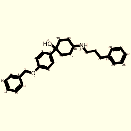 OC1(c2ccc(OCc3ccccc3)cc2)CCC(NCCCc2ccccc2)CC1